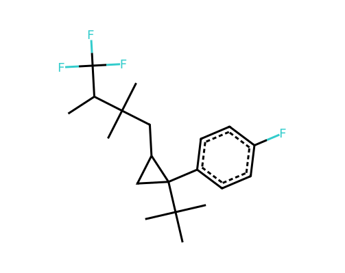 CC(C(F)(F)F)C(C)(C)CC1CC1(c1ccc(F)cc1)C(C)(C)C